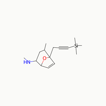 CNC1CC(C)C2(CC#C[Si](C)(C)C)C=CC1O2